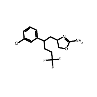 NC1=NC(CC(CCC(F)(F)F)c2cccc(Cl)c2)CO1